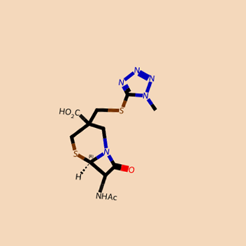 CC(=O)NC1C(=O)N2CC(CSc3nnnn3C)(C(=O)O)CS[C@H]12